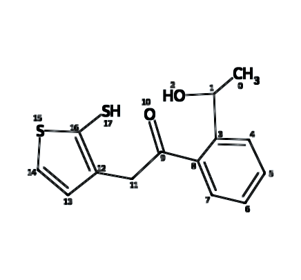 CC(O)c1ccccc1C(=O)Cc1ccsc1S